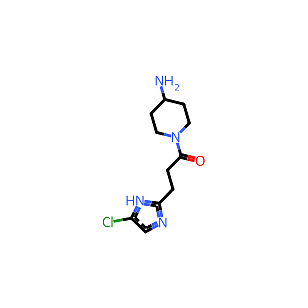 NC1CCN(C(=O)CCc2ncc(Cl)[nH]2)CC1